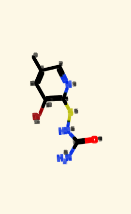 Cc1cnc(SNC(N)=O)c(Br)c1